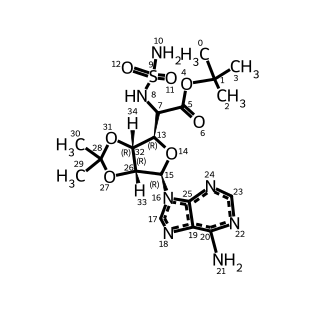 CC(C)(C)OC(=O)C(NS(N)(=O)=O)[C@H]1O[C@@H](n2cnc3c(N)ncnc32)[C@@H]2OC(C)(C)O[C@@H]21